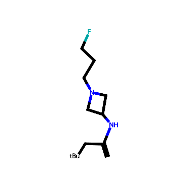 C=C(CC(C)(C)C)NC1CN(CCCF)C1